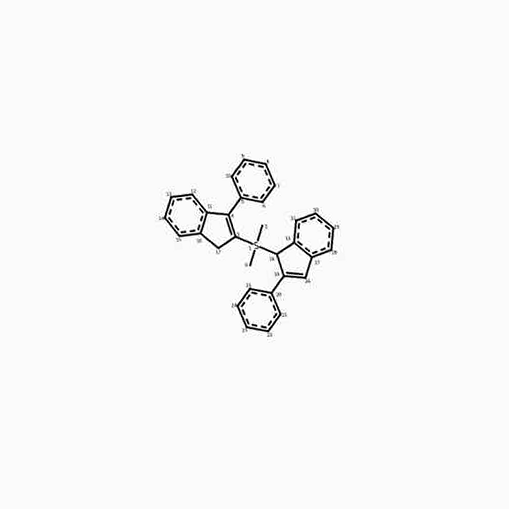 CS(C)(C1=C(c2ccccc2)c2ccccc2C1)C1C(c2ccccc2)=Cc2ccccc21